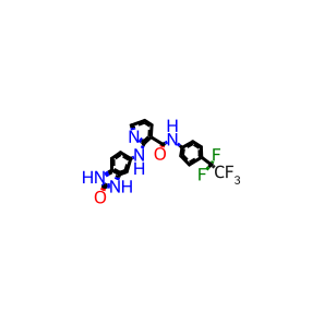 O=C(Nc1ccc(C(F)(F)C(F)(F)F)cc1)c1cccnc1Nc1ccc2[nH]c(=O)[nH]c2c1